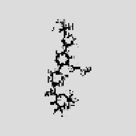 [2H]C([2H])([2H])n1cc(-c2ccc(-c3cnc(N(C)C4CC(C)(C)NC(C)(C)C4)nn3)c(OCOC)c2)cn1